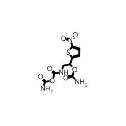 NC(=O)OC(=O)NCC(OC(N)=O)c1ccc([N+](=O)[O-])s1